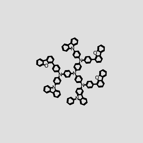 c1ccc(-n2c3ccccc3c3cc(N(c4ccc(-c5cccc6c5oc5ccccc56)cc4)c4ccc(N(c5ccc(N(c6ccc(-c7cccc8c7oc7ccccc78)cc6)c6ccc(-n7c8ccccc8c8ccccc87)cc6)cc5)c5ccc(N(c6ccc(-c7cccc8c7oc7ccccc78)cc6)c6ccc(-n7c8ccccc8c8ccccc87)cc6)cc5)cc4)ccc32)cc1